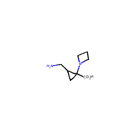 NCC1CC1(C(=O)O)N1CCC1